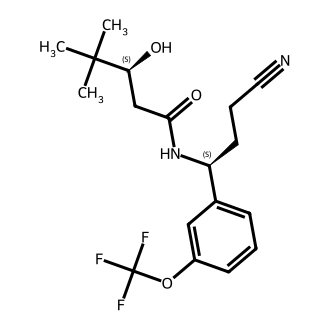 CC(C)(C)[C@@H](O)CC(=O)N[C@@H](CCC#N)c1cccc(OC(F)(F)F)c1